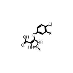 CN1NC(Oc2ccc(Cl)c(F)c2)=C(C(=O)O)N1